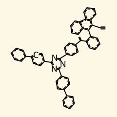 C#Cc1c(-c2ccccc2C(=C)c2ccc(-c3nc(-c4ccc(-c5ccccc5)cc4)nc(-c4ccc(-c5ccccc5)cc4)n3)cc2)c2ccccc2c2ccccc12